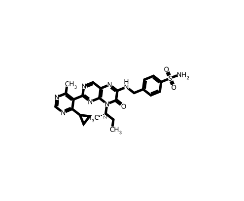 CC[C@H](C)n1c(=O)c(NCc2ccc(S(N)(=O)=O)cc2)nc2cnc(-c3c(C)ncnc3C3CC3)nc21